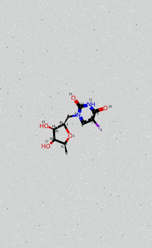 C[C@@H]1O[C@H](Cn2cc(I)c(=O)[nH]c2=O)[C@H](O)C1O